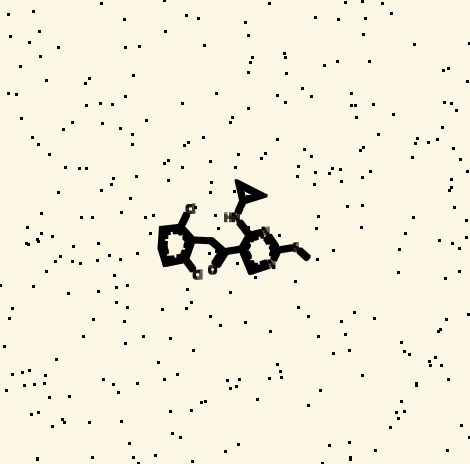 CSc1ncc(C(=O)Cc2c(Cl)cccc2Cl)c(NC2CC2)n1